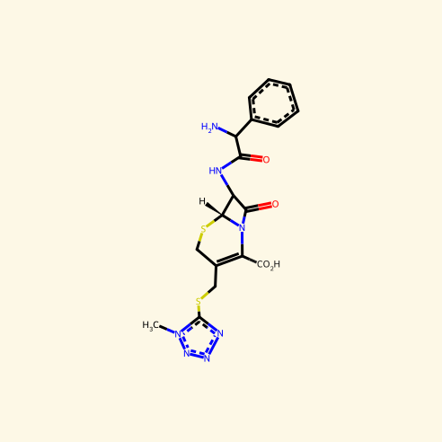 Cn1nnnc1SCC1=C(C(=O)O)N2C(=O)C(NC(=O)C(N)c3ccccc3)[C@H]2SC1